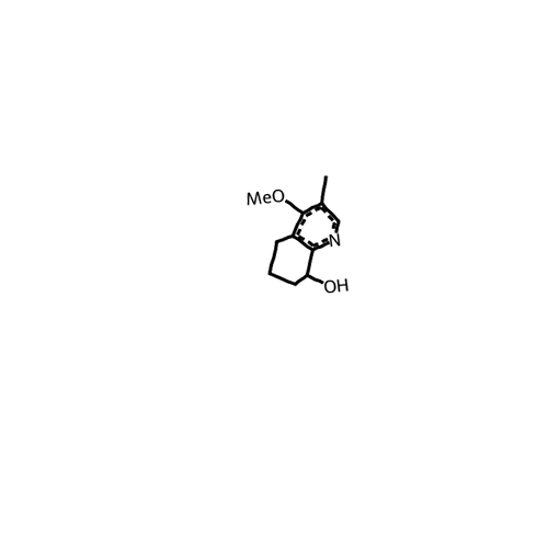 COc1c(C)cnc2c1CCCC2O